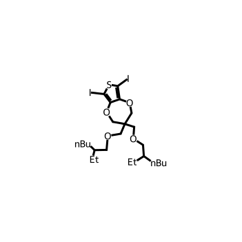 CCCCC(CC)COCC1(COCC(CC)CCCC)COc2c(I)sc(I)c2OC1